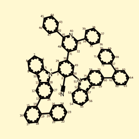 N#Cc1c(-n2c3ccccc3c3cc(-c4ccccc4-c4ccccc4)ccc32)cc(-c2cc(-c3ccccc3)nc(-c3ccccc3)c2)cc1-n1c2ccccc2c2cc(-c3ccccc3-c3ccccc3)ccc21